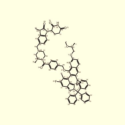 CO[C@@H](C)COc1ccc2cc(C3CC3)c(-c3c(C)c(F)cc4nn(C(c5ccccc5)(c5ccccc5)c5ccccc5)cc34)c(OCc3ccc(C(=O)N4CCN(Cc5ccc6c(c5)n(C)c(=O)n6C5CCC(=O)NC5=O)C[C@@H]4C)cc3)c2n1